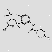 COC1CCN(C(=O)Nc2ccc(F)c([C@@]3(C)C[C@@H](C(F)(F)F)OC(N)=N3)c2)CC1